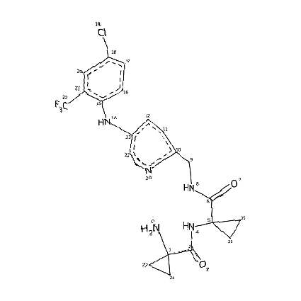 NC1(C(=O)NC2(C(=O)NCc3ccc(Nc4ccc(Cl)cc4C(F)(F)F)cn3)CC2)CC1